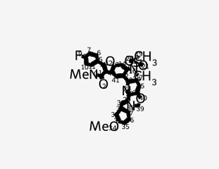 CNC(=O)c1c(-c2ccc(F)cc2)oc2cc(N(C)S(C)(=O)=O)c(-c3ccc4c(n3)-c3cc5cc(OC)ccc5n3CO4)cc12